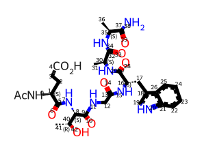 CC(=O)N[C@@H](CCC(=O)O)C(=O)N[C@H](C(=O)NCC(=O)N[C@@H](Cc1c[nH]c2ccccc12)C(=O)N[C@@H](C)C(=O)N[C@@H](C)C(N)=O)[C@@H](C)O